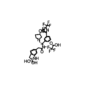 CN(C(=O)Cc1ccc2c(c1)NS(O)(O)C2)[C@H](CN1CCC(O)C1)c1cccc(-c2noc(C(F)(F)F)n2)c1.O=C(O)C(F)(F)F